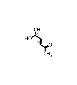 CC(=O)/C=C/[C@H](C)O